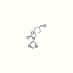 O=C[C@H]1CC[C@]2(CC1)CN(c1cncnc1)C(=O)O2